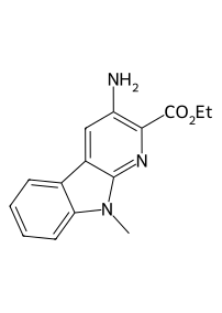 CCOC(=O)c1nc2c(cc1N)c1ccccc1n2C